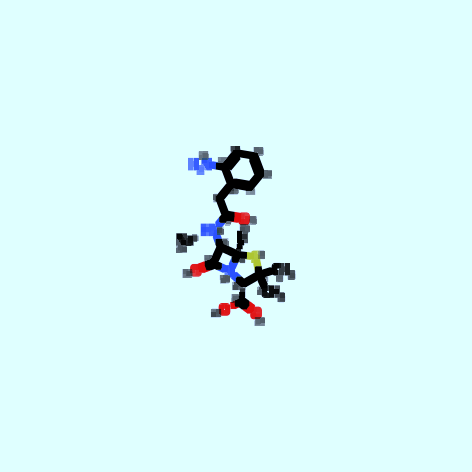 CC1(C)S[C@@H]2C(NC(=O)Cc3ccccc3N)C(=O)N2[C@H]1C(=O)[O-].[Na+]